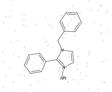 CCC[n+]1ccn(Cc2ccccc2)c1-c1ccccc1